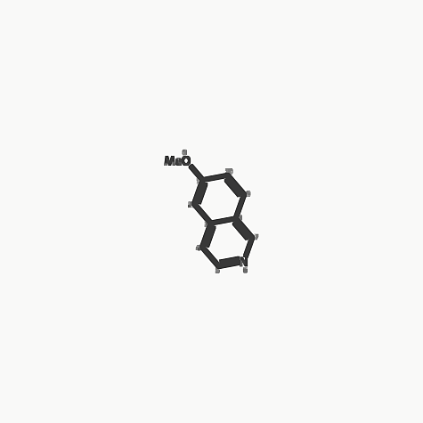 COc1[c]c2ccncc2cc1